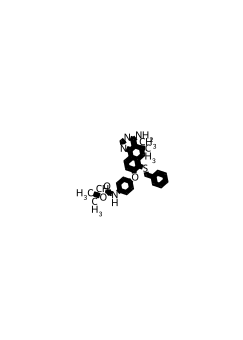 CC(C)(C)OC(=O)NC1CCC(Oc2ccc3c(c2SCc2ccccc2)CC(C)(C)c2c(N)ncnc2-3)CC1